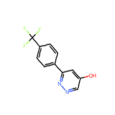 Oc1cnnc(-c2ccc(C(F)(F)F)cc2)c1